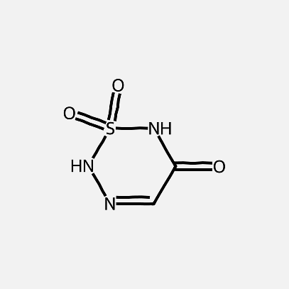 O=C1C=NNS(=O)(=O)N1